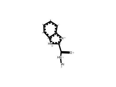 CC(C)NC(=O)c1nc2ccccc2[nH]1